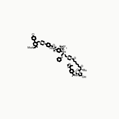 CNCC1(C)CCC(c2ccc(Cl)cc2)=C(CN2CCN(c3ccc(C(=O)NS(=O)(=O)c4ccc(N[C@H](CCN5CCN(C(=O)CCCCCC(=O)[C@@H](C(=O)N6C[C@H](O)C[C@H]6C(=O)N[C@@H](C)c6ccc(-c7scnc7C)cc6)C(C)(C)C)CC5)CSc5ccccc5)c(S(=O)(=O)C(F)(F)F)c4)cc3)CC2)C1